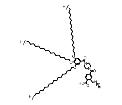 CCCCCCCCCCCCCCCCCCOc1cc(C(=O)N2CCN(C(=O)c3ccc(C(=O)O)c(CN=[N+]=[N-])c3)CC2)cc(OCCCCCCCCCCCCCCCCCC)c1OCCCCCCCCCCCCCCCCCC